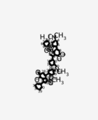 CN(C)c1ccc(C2=CC(=O)C(=O)c3c(-c4cccc(CN(C)c5ccc(C6=CC(=O)C(=O)c7c(-c8ccccc8)cn(S(C)(=O)=O)c76)cc5)c4)cn(S(=O)(=O)c4ccccc4)c32)cc1